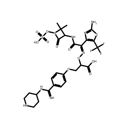 CC1(C)C(NC(=O)C(=NOC(COc2ccc(C(=N)NC3CCNCC3)cc2)C(=O)O)c2nc(N)sc2C(F)(F)F)C(=O)N1OS(=O)(=O)O